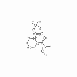 CON(C)C(=O)[C@H]1COCCN1C(=O)OC(C)(C)C